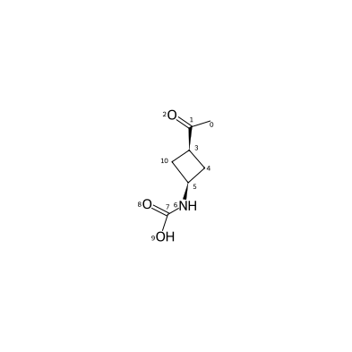 CC(=O)[C@H]1C[C@@H](NC(=O)O)C1